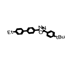 CCc1ccc(-c2ccc(-c3nnc(-c4ccc(C(C)(C)C)cc4)o3)cc2)cc1